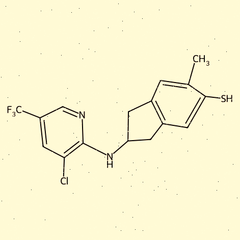 Cc1cc2c(cc1S)CC(Nc1ncc(C(F)(F)F)cc1Cl)C2